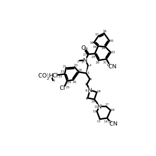 CC(=O)O.CN(C[C@@H](CCN1CC(N2CCC(C#N)CC2)C1)c1ccc(Cl)c(Cl)c1)C(=O)c1cc(C#N)cc2ccccc12